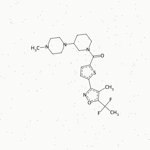 Cc1c(-c2ccc(C(=O)N3CCCC(N4CCN(C)CC4)C3)s2)noc1C(C)(F)F